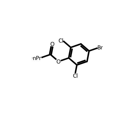 CC[CH]C(=O)Oc1c(Cl)cc(Br)cc1Cl